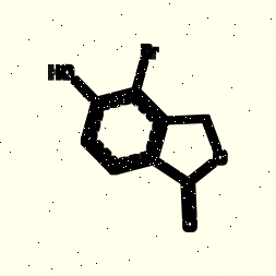 O=C1OCc2c1ccc(O)c2Br